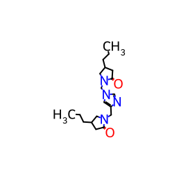 CCCC1CC(=O)N(Cc2cn(CN3CC(CCC)CC3=O)cn2)C1